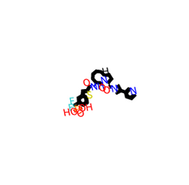 O=C(N[C@H]1CCCC[C@H]2CC[C@@H](C(=O)N3CC(c4cccnc4)C3)N2C1=O)c1cc2cc(C(F)(F)P(=O)(O)O)ccc2s1